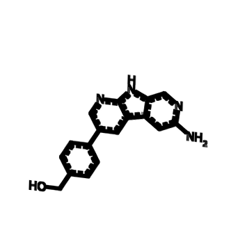 Nc1cc2c(cn1)[nH]c1ncc(-c3ccc(CO)cc3)cc12